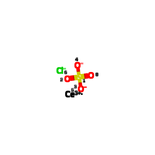 O=S(=O)([O-])[O-].[Ce+3].[Cl-]